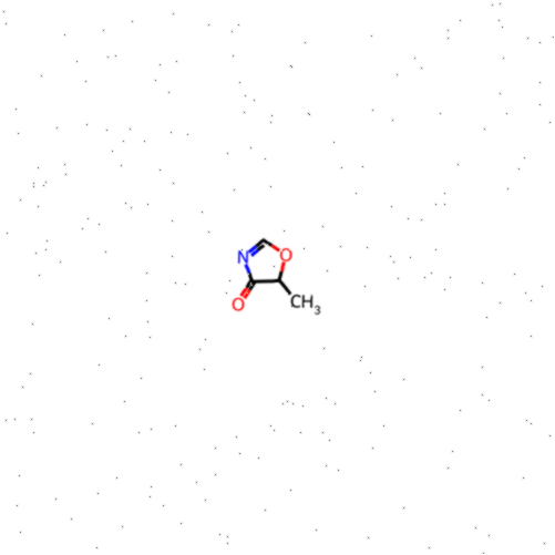 CC1OC=NC1=O